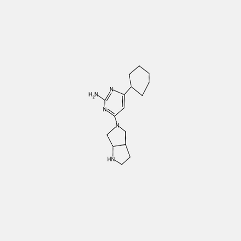 Nc1nc(C2CCCCC2)cc(N2CC3CCNC3C2)n1